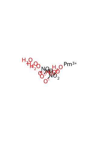 O.O.O.O.O.O.O=[N+]([O-])[O-].O=[N+]([O-])[O-].O=[N+]([O-])[O-].[Pm+3]